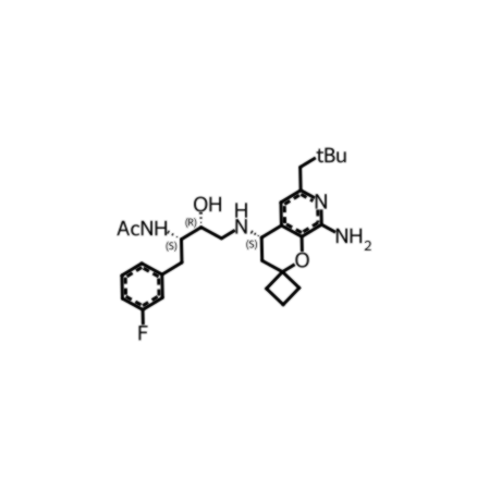 CC(=O)N[C@@H](Cc1cccc(F)c1)[C@H](O)CN[C@H]1CC2(CCC2)Oc2c1cc(CC(C)(C)C)nc2N